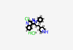 Cl.Clc1nc2ccccc2c2c(CCC3CCNCC3)n(-c3ccccc3)nc12